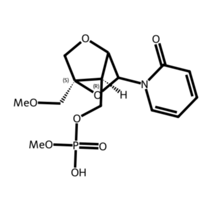 COC[C@@]12COC(C(n3ccccc3=O)O1)[C@H]2COP(=O)(O)OC